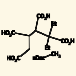 CCC(CC)(C(=O)O)C(C(=O)O)C(CC(=O)O)C(=O)O.CCCCCCCCCCC